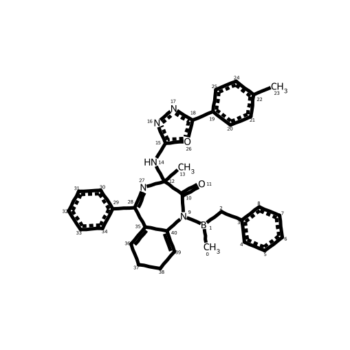 CB(Cc1ccccc1)N1C(=O)C(C)(Nc2nnc(-c3ccc(C)cc3)o2)N=C(c2ccccc2)C2=CCCC=C21